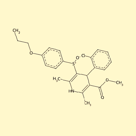 CCCOc1ccc([S+]([O-])C2=C(C)NC(C)=C(C(=O)OC)C2c2ccccc2Cl)cc1